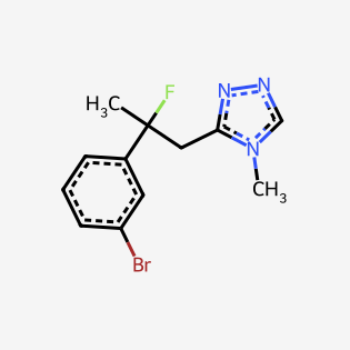 Cn1cnnc1CC(C)(F)c1cccc(Br)c1